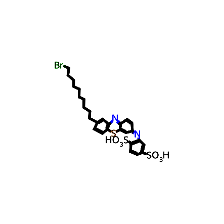 O=S(=O)(O)c1ccc(S(=O)(=O)O)c(N=c2ccc3nc4cc(CCCCCCCCCCBr)ccc4sc-3c2)c1